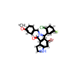 COc1ccc(CN2C(=O)c3c4c(cc(Br)c3C2c2cc(F)ccc2Cl)NCC4)cc1